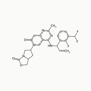 C=CC(Nc1nc(C)nc2cc(=O)n(C3CC4COC(=O)N4C3)cc12)c1cccc(C(F)F)c1F